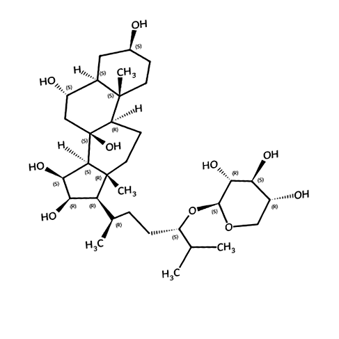 CC(C)[C@H](CC[C@@H](C)[C@H]1[C@@H](O)[C@@H](O)[C@@H]2[C@]1(C)CC[C@@H]1[C@@]3(C)CC[C@H](O)C[C@@H]3[C@@H](O)C[C@]12O)O[C@@H]1OC[C@@H](O)[C@H](O)[C@H]1O